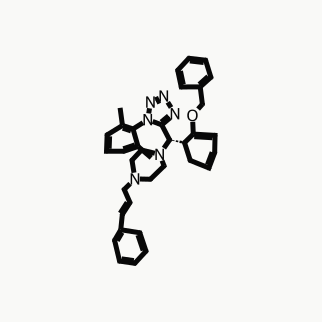 Cc1cccc(C)c1-n1nnnc1[C@H](C1CC=CC=C1OCc1ccccc1)N1CCN(C/C=C/c2ccccc2)CC1